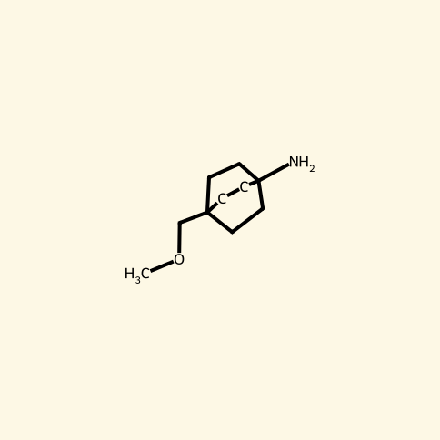 COCC12CCC(N)(CC1)CC2